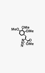 COC(=O)/C(=C/c1ccc(OC)c(OC)c1OC)N=[N+]=[N-]